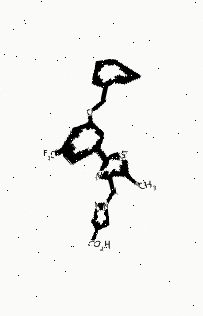 Cc1sc(-c2cc(OCc3ccccc3)cc(C(F)(F)F)c2)nc1Cn1cc(C(=O)O)cn1